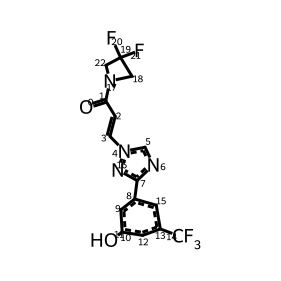 O=C(C=Cn1cnc(-c2cc(O)cc(C(F)(F)F)c2)n1)N1CC(F)(F)C1